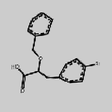 O=C(O)C(Cc1ccc(Br)cc1)OCc1ccccc1